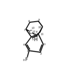 Fc1ccc2c(c1)C1CCC2CNC1